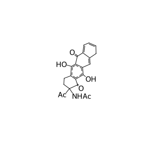 CC(=O)NC1(C(C)=O)CCc2c(O)c3c(c(O)c2C1=O)C=C1CC=CC=C1C3=O